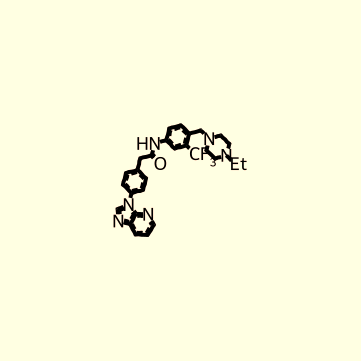 CCN1CCN(Cc2ccc(NC(=O)Cc3ccc(-n4cnc5cccnc54)cc3)cc2C(F)(F)F)CC1